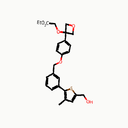 CCOC(=O)COC1(c2ccc(OCc3cccc(-c4sc(CO)cc4C)c3)cc2)COC1